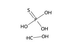 OP(O)(O)=S.[CH]O